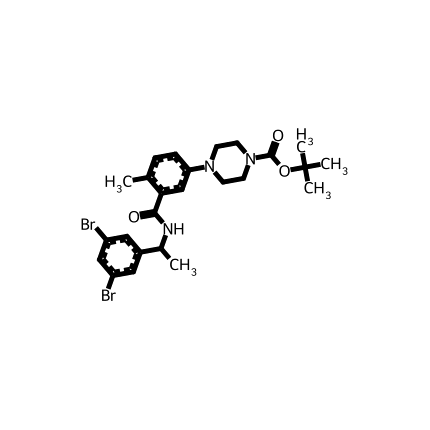 Cc1ccc(N2CCN(C(=O)OC(C)(C)C)CC2)cc1C(=O)NC(C)c1cc(Br)cc(Br)c1